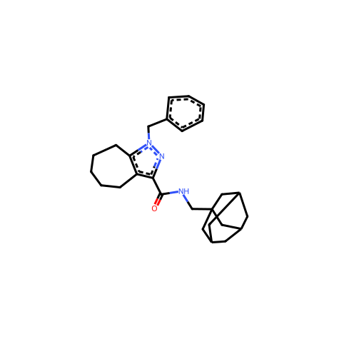 O=C(NCC12CC3CC(CC(C3)C1)C2)c1nn(Cc2ccccc2)c2c1CCCCC2